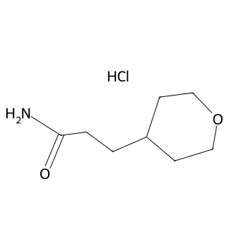 Cl.NC(=O)CCC1CCOCC1